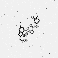 Cc1cc(S(=O)(=O)N2CC[C@H]2C(=O)Nc2ccn(C)c(=O)c2)c2[nH]c(/C=N\O)cc2c1